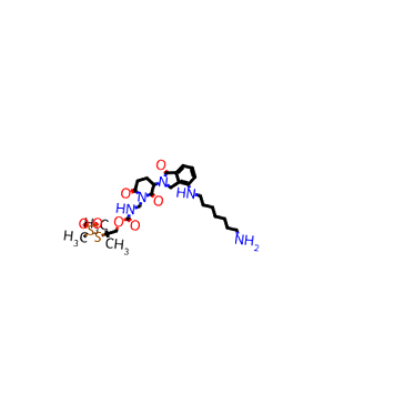 CC(C)(COC(=O)NCN1C(=O)CCC(N2Cc3c(NCCCCCCCN)cccc3C2=O)C1=O)SS(C)(=O)=O